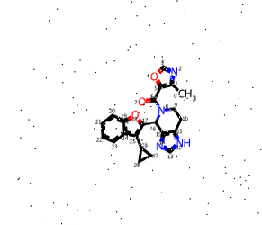 Cc1ncoc1C(=O)N1CCc2[nH]cnc2[C@H]1c1oc2ccccc2c1C1CC1